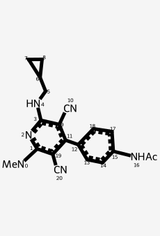 CNc1nc(NCC2CC2)c(C#N)c(-c2ccc(NC(C)=O)cc2)c1C#N